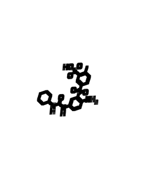 Cc1ccc(S(=O)(=O)c2cc(NC(=O)NC3CCCCC3)ccc2N)cc1S(=O)(=O)O